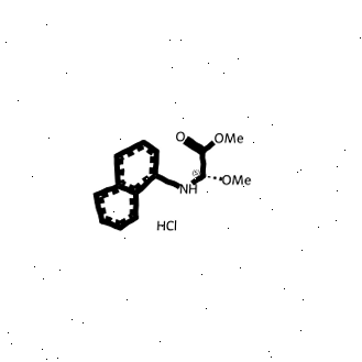 COC(=O)[C@@H](Nc1cccc2ccccc12)OC.Cl